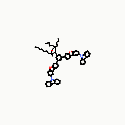 CCCCCCCC(C)(C)C(CC(C)(CCCC)CCCC)c1cc(-c2ccc3c(c2)oc2ccc(-n4c5ccccc5c5ccccc54)cc23)cc(-c2ccc3c(c2)oc2ccc(-n4c5ccccc5c5ccccc54)cc23)c1